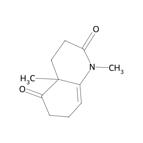 CN1C(=O)CCC2(C)C(=O)CCC=C12